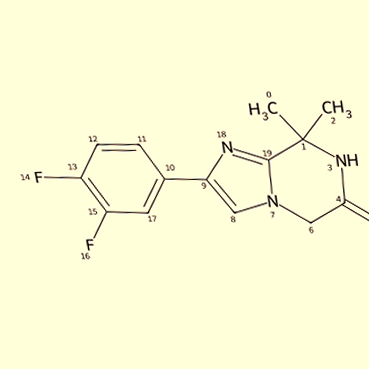 CC1(C)NC(=O)Cn2cc(-c3ccc(F)c(F)c3)nc21